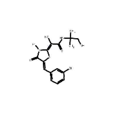 CCn1c(=O)c(=Cc2cccc(O)c2)s/c1=C(/C#N)C(=O)NC(C)(C)CO